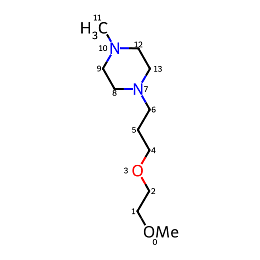 COCCOCCCN1CCN(C)CC1